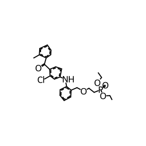 CCOP(=O)(CCOCc1ccccc1Nc1ccc(C(=O)c2ccccc2C)c(Cl)c1)OCC